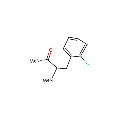 CNC(=O)C(Cc1ccccc1F)NC